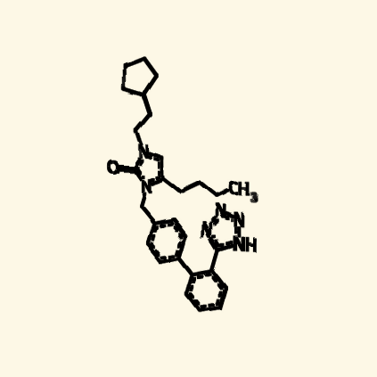 CCCCc1cn(CCC2CCCC2)c(=O)n1Cc1ccc(-c2ccccc2-c2nnn[nH]2)cc1